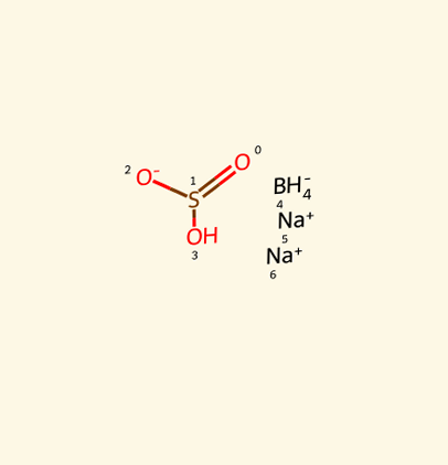 O=S([O-])O.[BH4-].[Na+].[Na+]